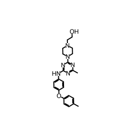 Cc1ccc(Oc2ccc(Nc3nc(C)nc(N4CCN(CCO)CC4)n3)cc2)cc1